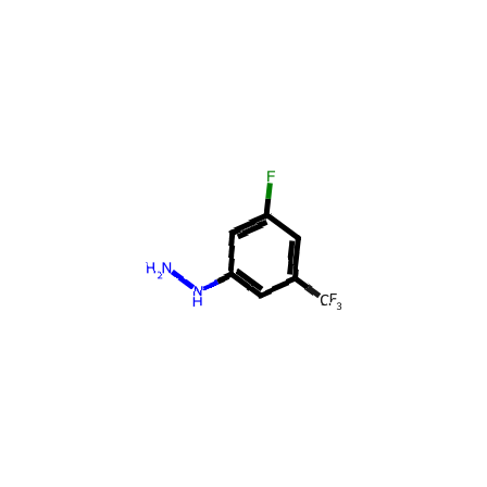 NNc1cc(F)cc(C(F)(F)F)c1